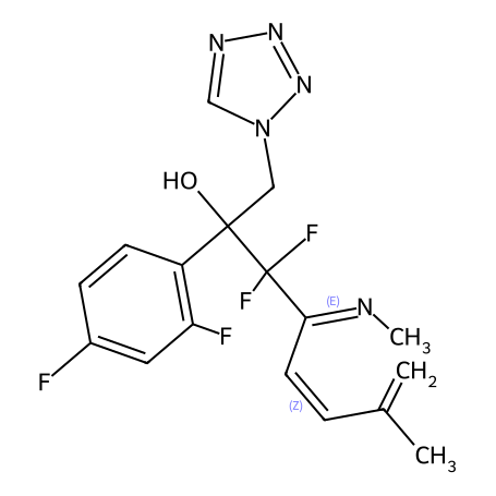 C=C(C)/C=C\C(=N/C)C(F)(F)C(O)(Cn1cnnn1)c1ccc(F)cc1F